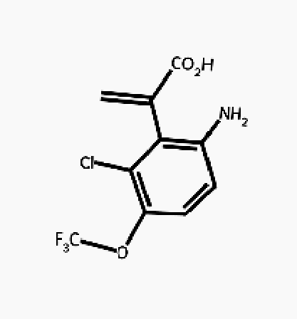 C=C(C(=O)O)c1c(N)ccc(OC(F)(F)F)c1Cl